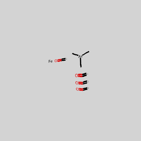 C[As](C)C.[C]=O.[C]=O.[C]=O.[C]=O.[Fe]